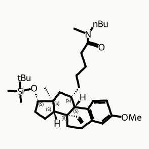 C=C[C@@]12CCc3cc(OC)ccc3[C@H]1[C@@H](CCCCC(=O)N(C)CCCC)C[C@]1(C)[C@@H](O[Si](C)(C)C(C)(C)C)CC[C@H]12